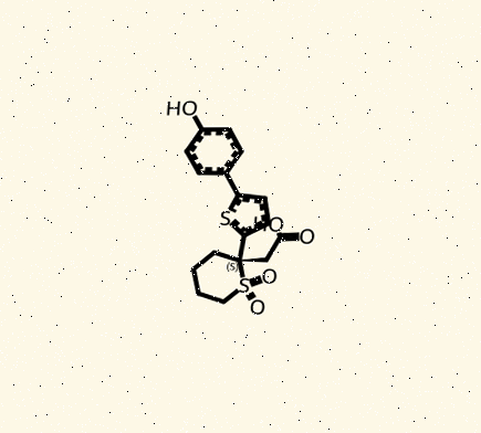 O=C(O)C[C@]1(c2ccc(-c3ccc(O)cc3)s2)CCCCS1(=O)=O